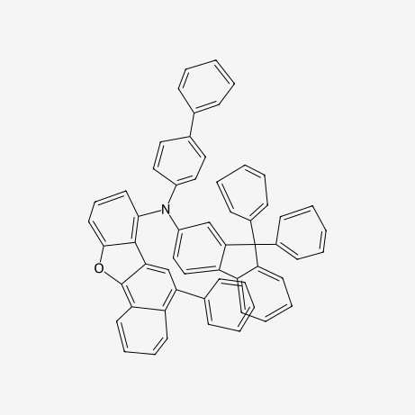 c1ccc(-c2ccc(N(c3ccc4c(c3)C(c3ccccc3)(c3ccccc3)c3ccccc3-4)c3cccc4oc5c6ccccc6c(-c6ccccc6)cc5c34)cc2)cc1